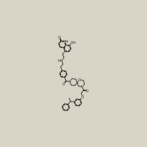 CC(c1ccccc1)c1cccc(OCC(=O)N2CCOC3(CCN(C(=O)c4ccc(CCNCCc5ccc(O)c6[nH]c(=O)ccc56)cc4)CC3)C2)c1